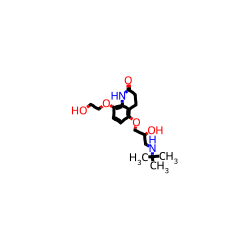 CC(C)(C)NCC(O)COc1ccc(OCCO)c2c1CCC(=O)N2